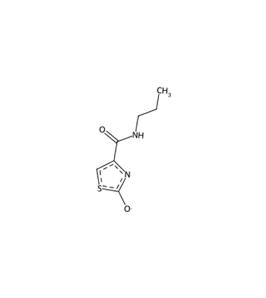 CCCNC(=O)c1csc([O])n1